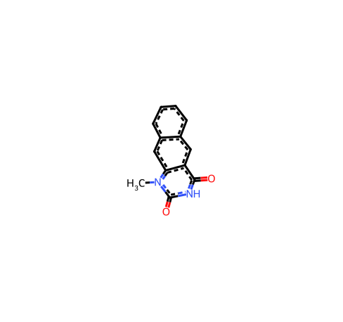 Cn1c(=O)[nH]c(=O)c2cc3ccccc3cc21